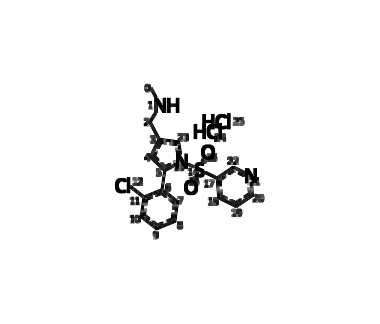 CNCc1cc(-c2ccccc2Cl)n(S(=O)(=O)c2cccnc2)c1.Cl.Cl